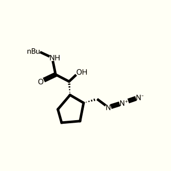 CCCCNC(=O)C(O)[C@H]1CCC[C@H]1CN=[N+]=[N-]